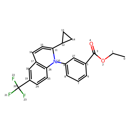 CCOC(=O)c1cccc(N2C(C3CC3)=C=Cc3cc(C(F)(F)F)ccc32)c1